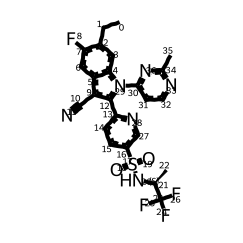 CCc1cc2c(cc1F)c(C#N)c(-c1ccc(S(=O)(=O)N[C@@H](C)C(F)(F)F)cn1)n2-c1ccnc(C)n1